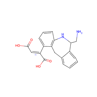 NCC1Nc2cccc(/C(=C\C(=O)O)C(=O)O)c2Cc2ccccc21